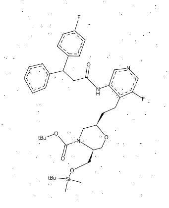 CC(C)(C)OC(=O)N1C[C@@H](CCc2c(F)cncc2NC(=O)CC(c2ccccc2)c2ccc(F)cc2)OC[C@H]1CO[Si](C)(C)C(C)(C)C